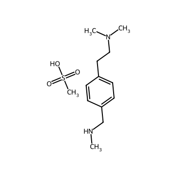 CNCc1ccc(CCN(C)C)cc1.CS(=O)(=O)O